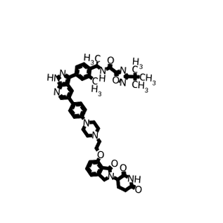 Cc1cc(-c2n[nH]c3ncc(-c4ccc(N5CCN(CCOc6cccc7c6C(=O)N(C6CCC(=O)NC6=O)C7)CC5)cc4)cc23)ccc1[C@@H](C)NC(=O)c1nc(C(C)(C)C)no1